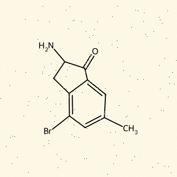 Cc1cc(Br)c2c(c1)C(=O)C(N)C2